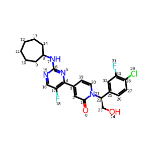 O=c1cc(-c2nc(NC3CCCCCC3)ncc2F)ccn1[C@H](CO)c1ccc(Cl)c(F)c1